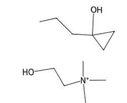 CCCC1(O)CC1.C[N+](C)(C)CCO